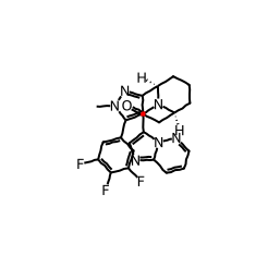 Cn1nc2c(c1-c1cc(F)c(F)c(F)c1)C[C@@H]1CCC[C@H]2N1C(=O)c1cnc2cccnn12